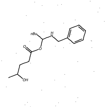 CCCCC(NCc1ccccc1)OC(=O)CCC(C)O